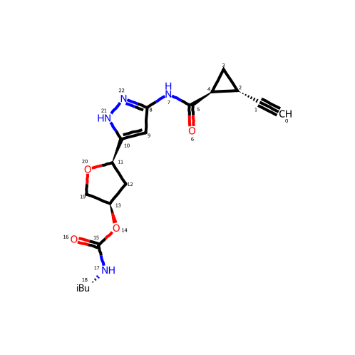 C#C[C@H]1C[C@@H]1C(=O)Nc1cc([C@H]2C[C@@H](OC(=O)N[C@@H](C)CC)CO2)[nH]n1